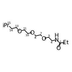 CCC(=O)NCCOCCOCCOCCC(C)C